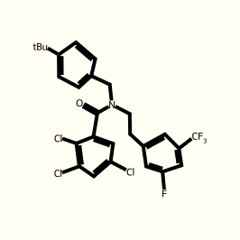 CC(C)(C)c1ccc(CN(CCc2cc(F)cc(C(F)(F)F)c2)C(=O)c2cc(Cl)cc(Cl)c2Cl)cc1